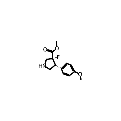 COC(=O)[C@]1(F)CNC[C@H]1c1ccc(OC)cc1